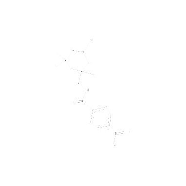 CC1(C)CC(N)CC(C)(CNC(=O)c2ccc(C(=O)O)cc2)C1